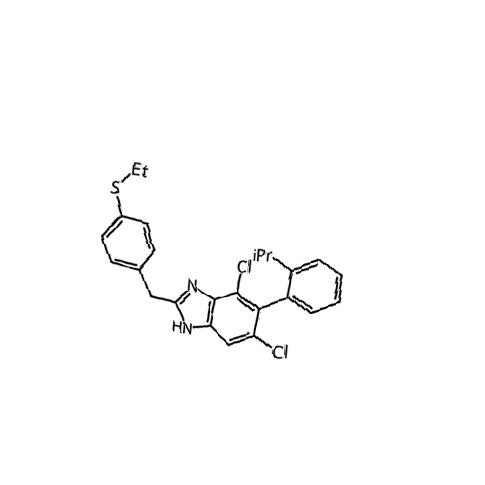 CCSc1ccc(Cc2nc3c(Cl)c(-c4ccccc4C(C)C)c(Cl)cc3[nH]2)cc1